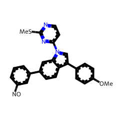 COc1ccc(-c2cn(-c3ccnc(SC)n3)c3cc(-c4cccc(N=O)c4)ccc23)cc1